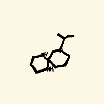 CC(C)N1CCCC2(C1)NCCCN2